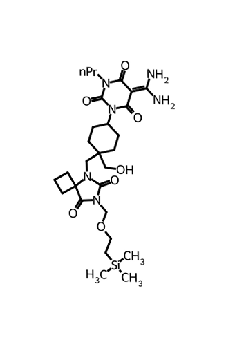 CCCN1C(=O)C(=C(N)N)C(=O)N(C2CCC(CO)(CN3C(=O)N(COCC[Si](C)(C)C)C(=O)C34CCC4)CC2)C1=O